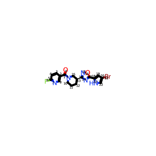 O=C(c1ccc(F)nc1)N1CCC[C@H](c2noc(-c3cc(Br)c[nH]3)n2)C1